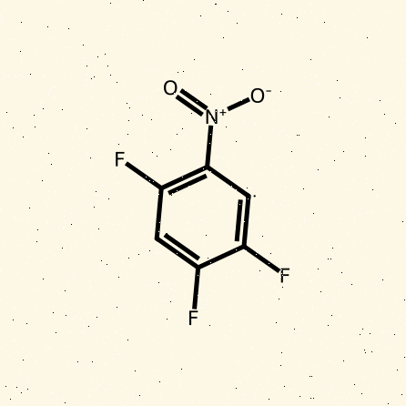 O=[N+]([O-])c1[c]c(F)c(F)cc1F